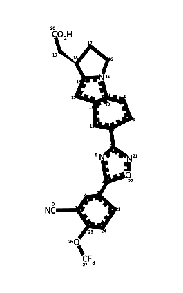 N#Cc1cc(-c2nc(-c3ccc4c(c3)cc3n4CC[C@@H]3CC(=O)O)no2)ccc1OC(F)(F)F